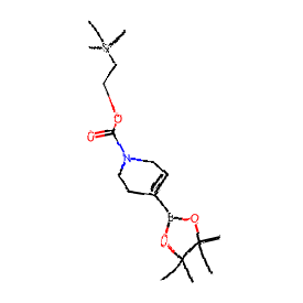 CC1(C)OB(C2=CCN(C(=O)OCC[Si](C)(C)C)CC2)OC1(C)C